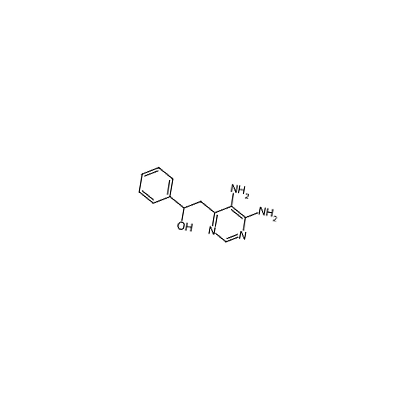 Nc1ncnc(CC(O)c2ccccc2)c1N